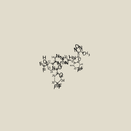 Cc1nonc1C(=O)N[C@H](c1cn2ncc([C@@H]3C[C@@](O)(C(F)F)CCN3C(=O)[C@@H]3CCC(F)(F)CO3)nc2n1)C1CCC(F)(F)CC1